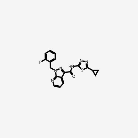 O=C(Nc1nnc(C2CC2)s1)c1nn(Cc2ccccc2F)c2ncccc12